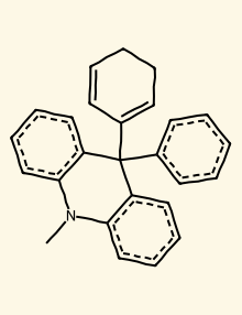 CN1c2ccccc2C(C2=CCCC=C2)(c2ccccc2)c2ccccc21